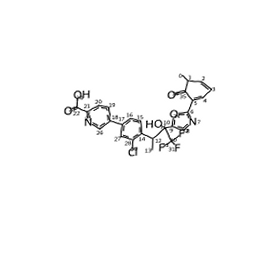 CC1C=CC=C(c2ncc(C(O)(C(C)c3ccc(-c4ccc(C(=O)O)nc4)cc3Cl)C(F)(F)F)o2)C1=O